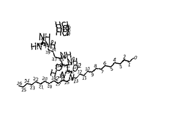 CCCCCCCCCCCCCCN(CCCCCCCCCCCC)C(=O)C(N)C(N)C(=O)C(N)CCCNC(=N)N.Cl.Cl.Cl